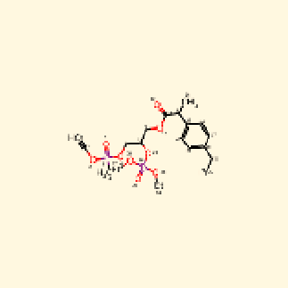 C#COP(C)(=O)OCC(COC(=O)C(C)c1ccc(CC(C)C)cc1)OP(=O)(OCC)OCC